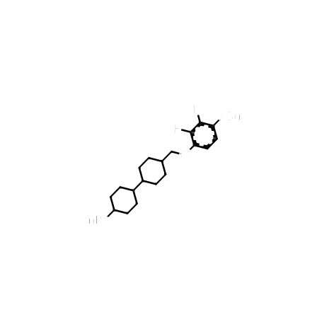 CCCCc1ccc(OCC2CCC(C3CCC(CCC)CC3)CC2)c(F)c1F